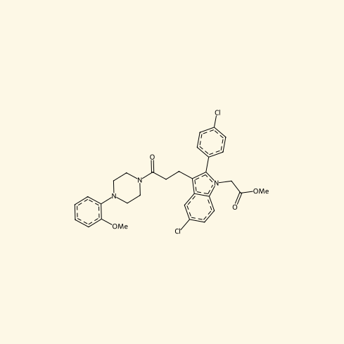 COC(=O)Cn1c(-c2ccc(Cl)cc2)c(CCC(=O)N2CCN(c3ccccc3OC)CC2)c2cc(Cl)ccc21